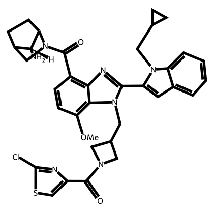 COc1ccc(C(=O)N2CC3CCC2[C@@H]3N)c2nc(-c3cc4ccccc4n3CC3CC3)n(CC3CN(C(=O)c4csc(Cl)n4)C3)c12